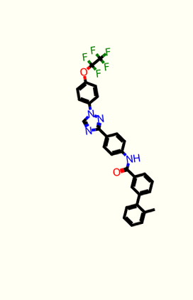 Cc1ccccc1-c1cccc(C(=O)Nc2ccc(-c3ncn(-c4ccc(OC(F)(F)C(F)(F)F)cc4)n3)cc2)c1